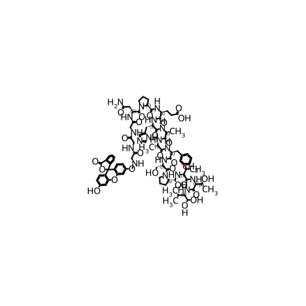 CC(C)[C@H](NC(=O)[C@@H](NC(=O)[C@@H](NC(O)[C@@H]1CCCN1C(=O)[C@H](CO)NC(=O)[C@H](Cc1ccccc1)NC(=O)[C@H](C)NC(=O)[C@H](C)NC(=O)[C@H](Cc1cnc[nH]1)NC(=O)[C@H](CCC(=O)O)NC(=O)[C@@H]1CCCN1C(=O)[C@H](CC(N)=O)NC(=O)CNC(=O)CNC(=O)CNOc1ccc2c(c1)Oc1cc(O)ccc1C21OC(=O)c2ccccc21)C(C)C)[C@@H](C)O)C(O)O